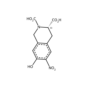 O=C(O)[C@@H]1Cc2cc([N+](=O)[O-])c(O)cc2CN1C(=O)O